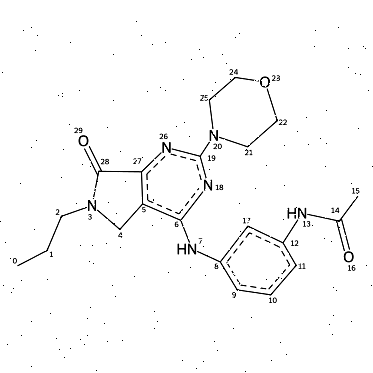 CCCN1Cc2c(Nc3cccc(NC(C)=O)c3)nc(N3CCOCC3)nc2C1=O